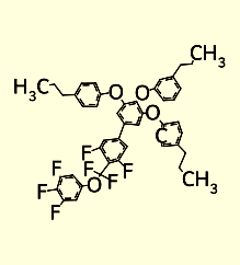 CCCc1ccc(Oc2cc(-c3cc(F)c(C(F)(F)Oc4cc(F)c(F)c(F)c4)c(F)c3)cc(Oc3ccc(CCC)cc3)c2Oc2cccc(CCC)c2)cc1